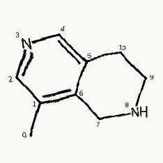 Cc1cncc2c1CNCC2